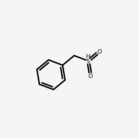 O=[SH](=O)Cc1ccccc1